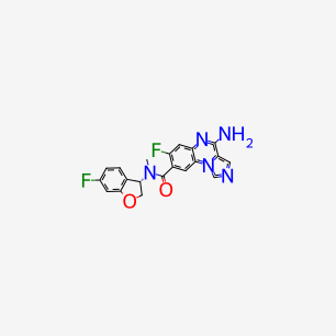 CN(C(=O)c1cc2c(cc1F)nc(N)c1cncn12)[C@@H]1COc2cc(F)ccc21